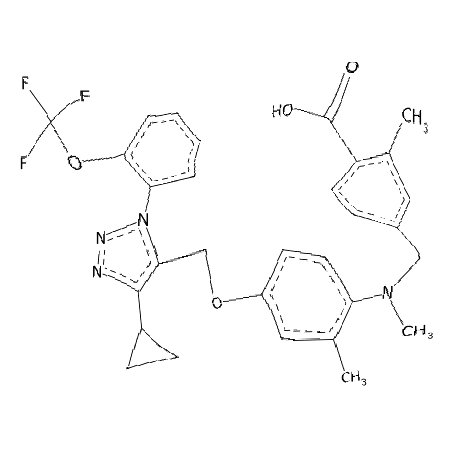 Cc1cc(CN(C)c2ccc(OCc3c(C4CC4)nnn3-c3ccccc3OC(F)(F)F)cc2C)ccc1C(=O)O